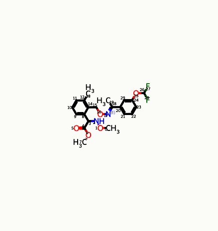 CONC(C(=O)OC)c1cccc(C)c1CO/N=C(\C)c1cccc(OC(F)F)c1